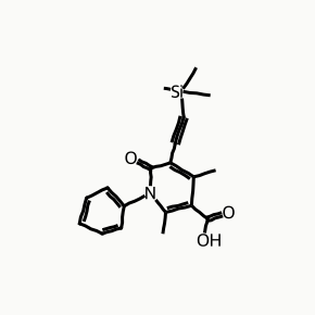 Cc1c(C(=O)O)c(C)n(-c2ccccc2)c(=O)c1C#C[Si](C)(C)C